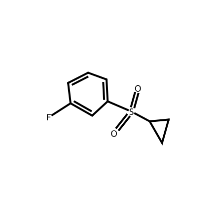 O=S(=O)(c1cccc(F)c1)C1CC1